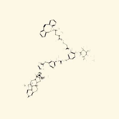 C[C@]12C=CC(=O)C=C1CC[C@@H]1[C@@H]2[C@@H](O)C[C@@]2(C)[C@H]1C[C@H]1O[C@@H](c3cnc(Cc4cccc(NC(=O)OCc5ccc(O[C@@H]6O[C@H](C(=O)O)[C@@H](O)[C@H](O)[C@H]6O)c(NC(=O)CCNC(=O)C(=O)CC(=O)N6Cc7ccccc7C#Cc7ccccc76)c5)c4)s3)O[C@]12C(=O)CO